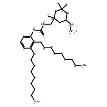 CCCCCCCCCCCCCCCCCCc1cccc(OC(=O)NCC2(C)CC(NC(=O)O)CC(C)(C)C2)c1CCCCCCCCCCCCCCCCCC